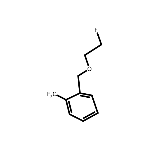 FCCOCc1ccccc1C(F)(F)F